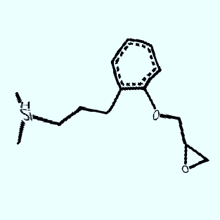 C[SiH](C)CCCc1ccccc1OCC1CO1